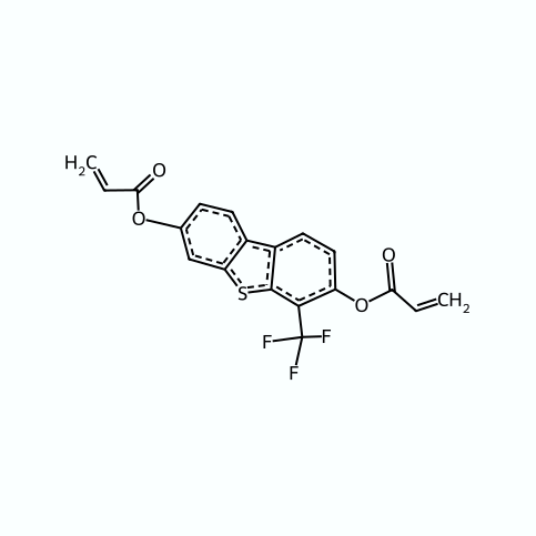 C=CC(=O)Oc1ccc2c(c1)sc1c(C(F)(F)F)c(OC(=O)C=C)ccc12